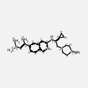 CC(C)N1CCN(CC(Nc2cc3cc(/C(N)=C/N(C)N)ccc3cn2)=C2CC2)CC1